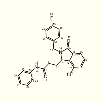 O=C(CCC1c2c(Cl)cccc2C(=O)N1Cc1ccc(F)cc1)Nc1ccccn1